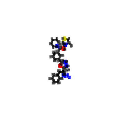 Cc1csc([C@H]2CCCCN2C(=O)c2cccc(-c3nnc([C@@](C)(N)Cc4ccccc4)o3)c2)n1